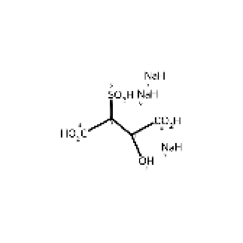 O=C(O)C(O)C(C(=O)O)S(=O)(=O)O.[NaH].[NaH].[NaH]